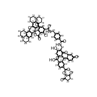 O=C(NCc1c(O)ccc2c(-c3cc(C(=O)ON4C(=O)CCC4=O)ccc3C(=O)O)c3ccc(=O)cc-3oc12)c1ccc(CNC(=O)c2cc(Cl)c3c(c2Cl)C(=O)OC32c3cc4c5c(c3Oc3c2cc2c6c3CCCN6CCC2)CCCN5CCC4)cc1